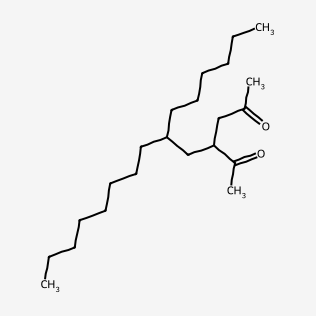 CCCCCCCCC(CCCCCC)CC(CC(C)=O)C(C)=O